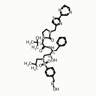 CC(C)CN(C[C@H](O)[C@H](Cc1ccccc1)NC(=O)[C@@H](N1CCN(Cc2csc(-c3cnccn3)n2)C1=O)C(C)(C)C)S(=O)(=O)c1ccc(C=NO)cc1